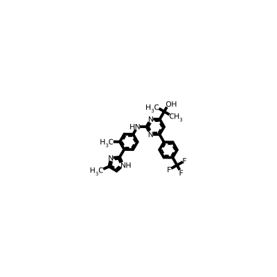 Cc1c[nH]c(-c2ccc(Nc3nc(-c4ccc(C(F)(F)F)cc4)cc(C(C)(C)O)n3)cc2C)n1